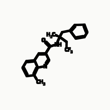 Cc1cccc2cc(C(=O)N[C@](C)(Cc3ccccc3)CC(F)(F)F)cnc12